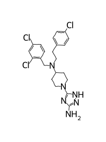 Nc1n[nH]c(N2CCC(N(CCc3ccc(Cl)cc3)Cc3ccc(Cl)cc3Cl)CC2)n1